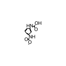 COC(=O)Nc1cccc(NC(=O)O)c1